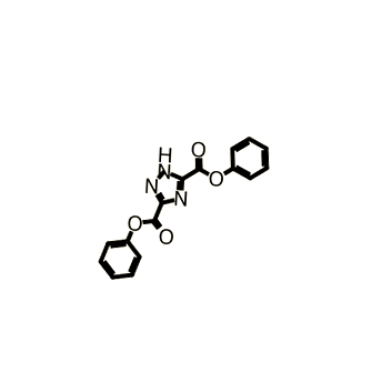 O=C(Oc1ccccc1)c1n[nH]c(C(=O)Oc2ccccc2)n1